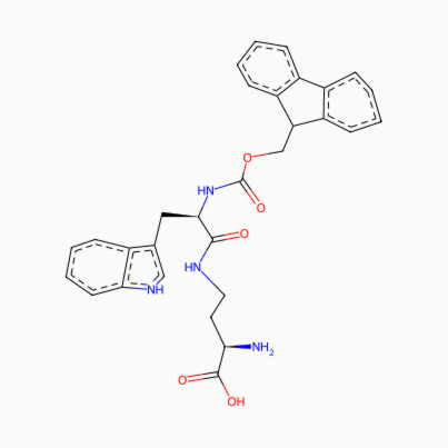 N[C@H](CCNC(=O)[C@@H](Cc1c[nH]c2ccccc12)NC(=O)OCC1c2ccccc2-c2ccccc21)C(=O)O